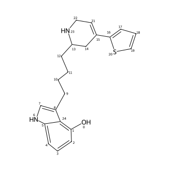 Oc1cccc2[nH]cc(CCCCC3CC(c4cccs4)=CCN3)c12